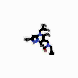 C=C(C)CN1C(C)=C(CN(C=O)CC2CC2)C(=C)n2nc(C)cc21